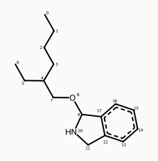 CCCCC(CC)COC1NCc2ccccc21